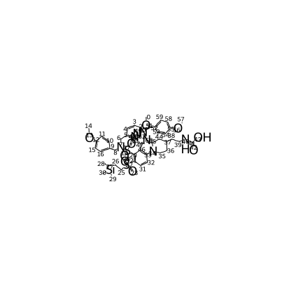 COc1ccc(CN(Cc2ccc(OC)cc2)S(=O)(=O)c2c(S(=O)(=O)CC[Si](C)(C)C)ccc(N3CCC(CCNC(=O)O)CC3)c2-c2nnn(Cc3ccc(OC)cc3)n2)cc1